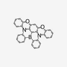 c1ccc2c(c1)B1c3ccccc3-n3c4ccccc4oc4cc5oc6ccccc6n-2c5c1c43